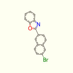 Brc1ccc2cc(-c3nc4ccccc4o3)ccc2c1